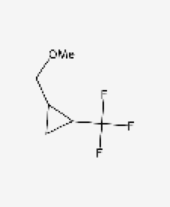 COCC1CC1C(F)(F)F